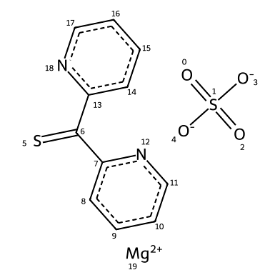 O=S(=O)([O-])[O-].S=C(c1ccccn1)c1ccccn1.[Mg+2]